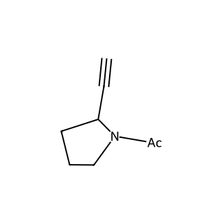 C#CC1CCCN1C(C)=O